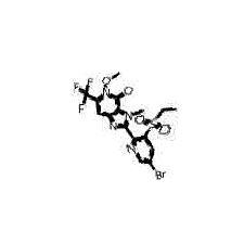 CCS(=O)(=O)c1cc(Br)cnc1-c1nc2cc(C(F)(F)F)n(OC)c(=O)c2n1C